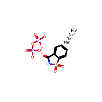 O=C1NS(=O)(=O)c2ccccc21.O=P([O-])([O-])OP(=O)([O-])[O-].[Na+].[Na+].[Na+].[Na+]